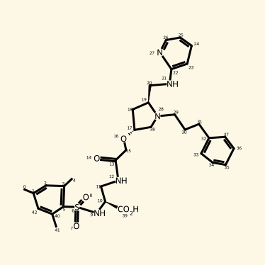 Cc1cc(C)c(S(=O)(=O)N[C@@H](CNC(=O)CO[C@@H]2C[C@@H](CNc3ccccn3)N(CCCc3ccccc3)C2)C(=O)O)c(C)c1